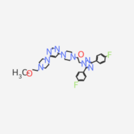 COCCN1CCN(c2cc(N3CCN(C(=O)Cn4nc(-c5ccc(F)cc5)nc4-c4ccc(F)cc4)CC3)ncn2)CC1